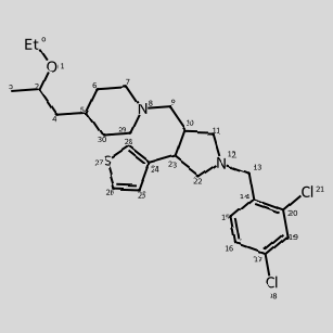 CCOC(C)CC1CCN(CC2CN(Cc3ccc(Cl)cc3Cl)CC2c2ccsc2)CC1